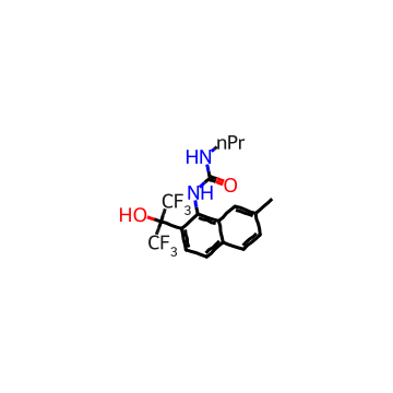 CCCNC(=O)Nc1c(C(O)(C(F)(F)F)C(F)(F)F)ccc2ccc(C)cc12